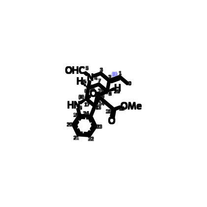 C/C=C1/CN(C=O)[C@H]2C[C@H]1C(C(=O)OC)[C@@]13CCO[C@@]21Nc1ccccc13